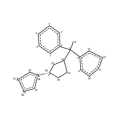 CC(c1ccccc1)(c1ccccc1)C1CC[C@H](n2cnnc2)C1